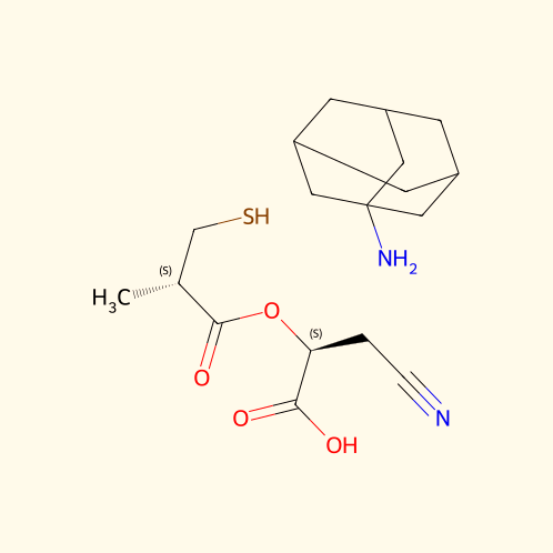 C[C@H](CS)C(=O)O[C@@H](CC#N)C(=O)O.NC12CC3CC(CC(C3)C1)C2